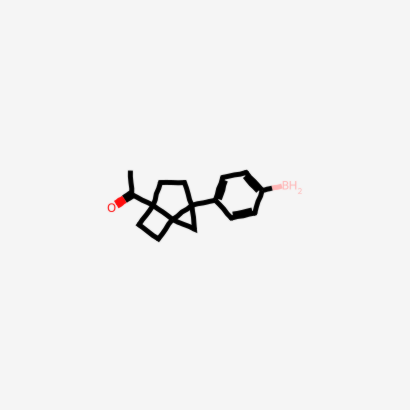 Bc1ccc(C23CCC4(C(C)=O)CCC42C3)cc1